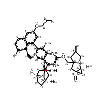 C#Cc1c(F)ccc2cc(OCOC)cc(-c3ncc4c(N5C[C@H]6CC[C@@H](C5)N6C(=O)O)nc(OCC56CC(=C)CN5[C@H]5C[C@H]5C6)nc4c3F)c12